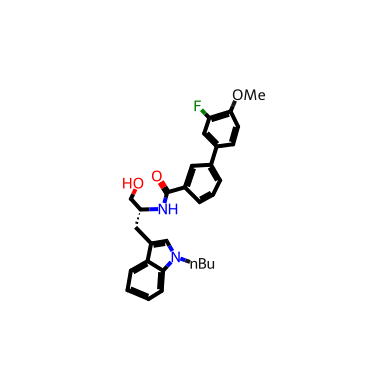 CCCCn1cc(C[C@H](CO)NC(=O)c2cccc(-c3ccc(OC)c(F)c3)c2)c2ccccc21